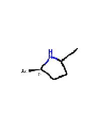 CC(=O)[C@@H]1CCC(C)N1